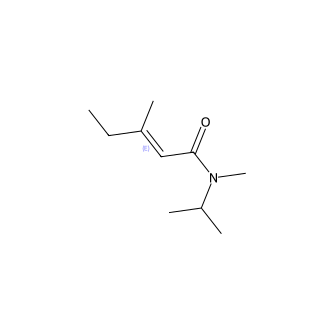 CC/C(C)=C/C(=O)N(C)C(C)C